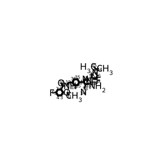 COc1ccc(F)cc1C(=O)NCc1ccc(-c2nn(C3CN(C(C)C)CC3(F)F)c(N)c2C#N)cc1